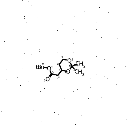 CC(C)(C)OC(=O)CC1CCOC(C)(C)O1